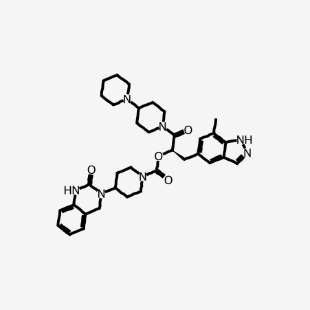 Cc1cc(C[C@@H](OC(=O)N2CCC(N3Cc4ccccc4NC3=O)CC2)C(=O)N2CCC(N3CCCCC3)CC2)cc2cn[nH]c12